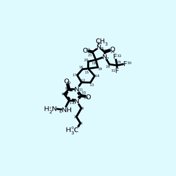 CCCCn1c(NN)cc(=O)n(C2CCC3(CC2)CC2(C3)C(=O)N(C)C(=O)N2CC(F)(F)F)c1=O